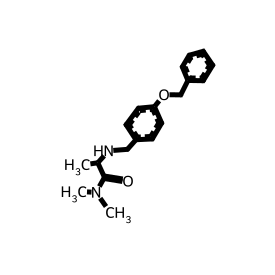 CC(NCc1ccc(OCc2ccccc2)cc1)C(=O)N(C)C